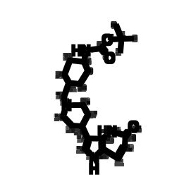 CC(C)(C)OC(=O)NC1CCC(CN2CCC(c3c[nH]c4ccc(=O)[nH]c34)CC2)CC1